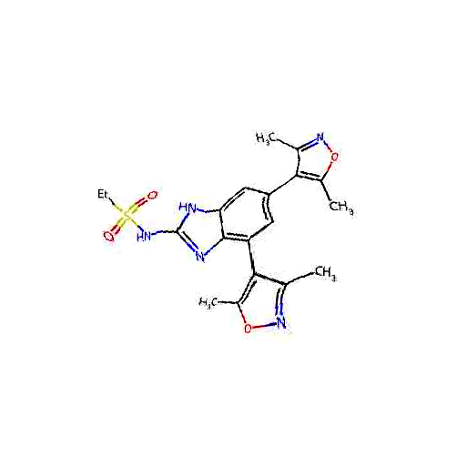 CCS(=O)(=O)Nc1nc2c(-c3c(C)noc3C)cc(-c3c(C)noc3C)cc2[nH]1